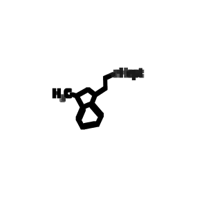 CCCCCCCCCC1CC(C)c2ccccc21